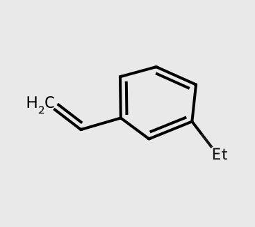 C=Cc1cccc(CC)c1